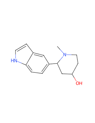 CN1CCC(O)CC1c1ccc2[nH]ccc2c1